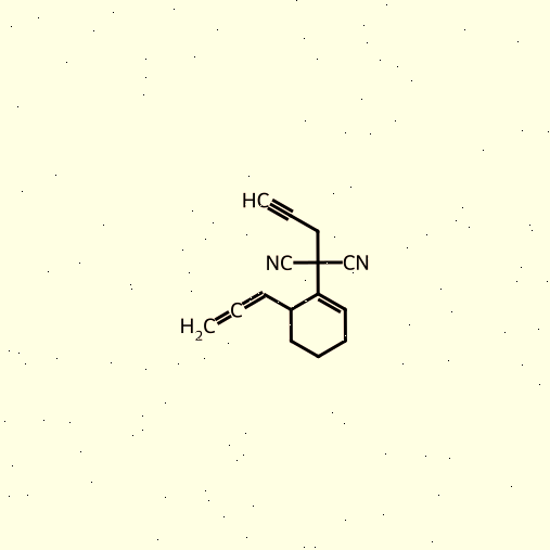 C#CCC(C#N)(C#N)C1=CCCCC1C=C=C